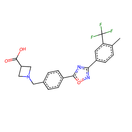 Cc1ccc(-c2noc(-c3ccc(CN4CC(C(=O)O)C4)cc3)n2)cc1C(F)(F)F